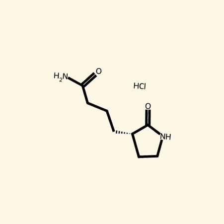 Cl.NC(=O)CCC[C@H]1CCNC1=O